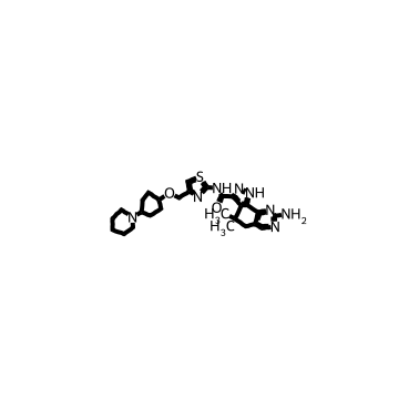 CC1(C)Cc2cnc(N)nc2-c2[nH]nc(C(=O)Nc3nc(COC4CCC(N5CCCCC5)CC4)cs3)c21